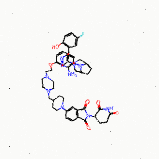 Nc1nnc(-c2cc(F)ccc2O)cc1N1C2CCC1CN(c1cccc(OCCN3CCN(CC4CCN(c5ccc6c(c5)C(=O)N(C5CCC(=O)NC5=O)C6=O)CC4)CC3)c1)C2